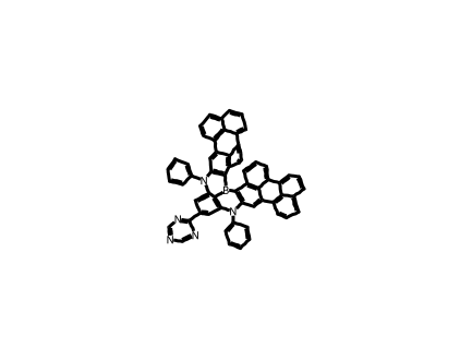 c1ccc(N2c3cc(-c4ncncn4)cc4c3B(c3c2cc2c5cccc6cccc(c7cccc3c72)c65)c2c(cc3c5cccc6cccc(c7cccc2c73)c65)N4c2ccccc2)cc1